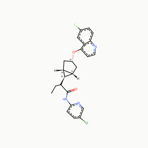 CCC(C(=O)Nc1ccc(Cl)cn1)[C@H]1[C@@H]2C[C@H](Oc3ccnc4ccc(F)cc34)C[C@@H]21